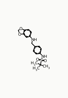 CC(C)(C)S(=O)(=O)Nc1ccc(CNc2ccc3c(c2)OCO3)cc1